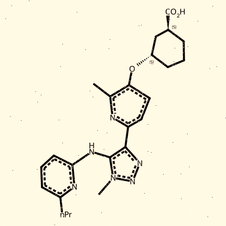 CCCc1cccc(Nc2c(-c3ccc(O[C@H]4CCC[C@H](C(=O)O)C4)c(C)n3)nnn2C)n1